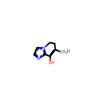 CCOC(=O)C1=C(O)c2nccn2CC1